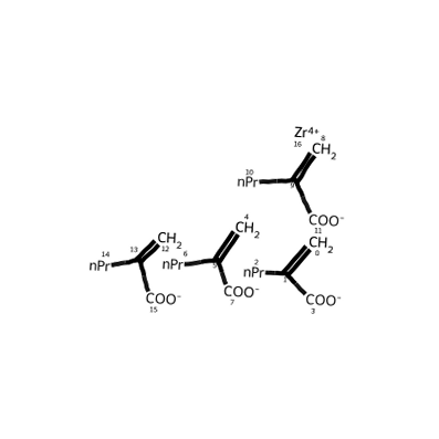 C=C(CCC)C(=O)[O-].C=C(CCC)C(=O)[O-].C=C(CCC)C(=O)[O-].C=C(CCC)C(=O)[O-].[Zr+4]